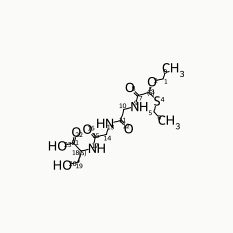 CCO[C@@H](SCC)C(=O)NCC(=O)NCC(=O)N[C@@H](CO)C(=O)O